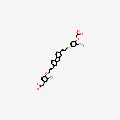 Cc1cc(SCC=Cc2ccc3c(c2)Cc2cc(C=CCOc4ccc(CC(=O)O)cc4Cl)ccc2-3)ccc1OCC(=O)O